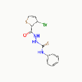 O=C(NNC(=S)Nc1ccccc1)C1SC=CC1Br